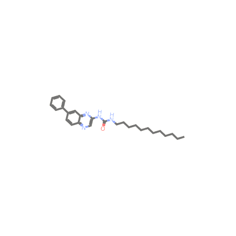 CCCCCCCCCCCCNC(=O)Nc1cnc2ccc(-c3ccccc3)cc2n1